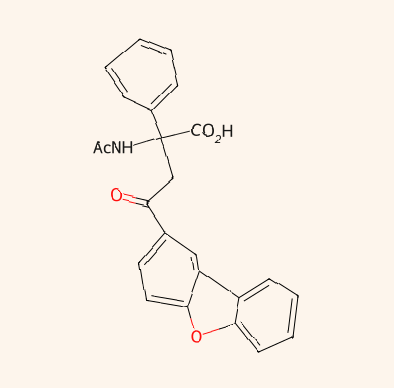 CC(=O)NC(CC(=O)c1ccc2oc3ccccc3c2c1)(C(=O)O)c1ccccc1